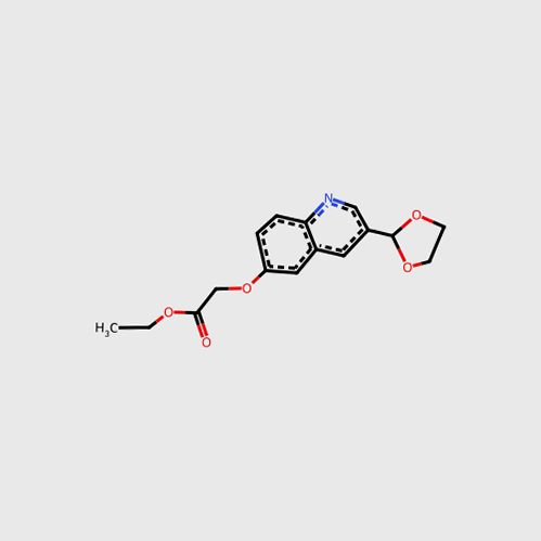 CCOC(=O)COc1ccc2ncc(C3OCCO3)cc2c1